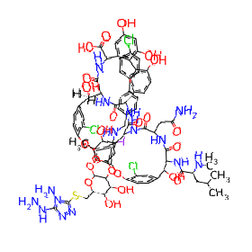 CN[C@@H](CC(C)C)C(=O)NC1C(=O)NC(CC(N)=O)C(=O)NC2C(=O)NC3C(=O)N[C@H](C(=O)NC(C(=O)O)c4cc(O)cc(O)c4-c4cc3ccc4O)[C@H](O)c3ccc(c(Cl)c3)Oc3cc2cc(c3OC2OC(CSc3nnc(NN)n3N)C(O)C(O)C2OC2CC(I)(NCc3ccc(-c4ccc(Cl)cc4)cc3)C(O)C(C)O2)Oc2ccc(cc2Cl)C1O